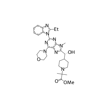 CCc1nc2ccccc2n1-c1nc(N2CCOCC2)c2nc([C@H](O)C3CCN(C(C)(C)C(=O)OC)CC3)n(C)c2n1